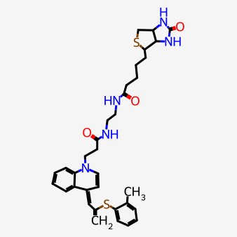 C=C(/C=C1\C=CN(CCC(=O)NCCNC(=O)CCCCC2SCC3NC(=O)NC32)c2ccccc21)Sc1ccccc1C